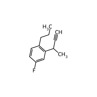 C#CC(C)c1cc(F)ccc1CCC